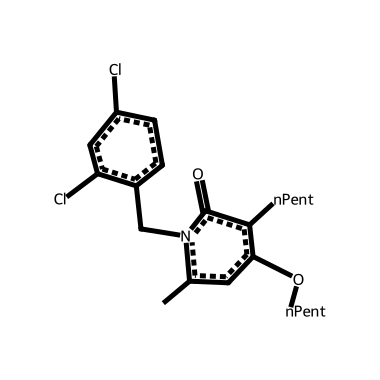 CCCCCOc1cc(C)n(Cc2ccc(Cl)cc2Cl)c(=O)c1CCCCC